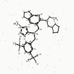 CCN(CC1CCCC1)c1nc2c(cc1CN(Cc1cc(C(F)(F)F)cc(C(F)(F)F)c1)c1nnn(C)n1)CCC2